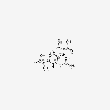 C[C@@H](O)[C@H](N)C(=O)N[C@@H](CC(N)=O)C(=O)N[C@@H](CS)C(=O)O